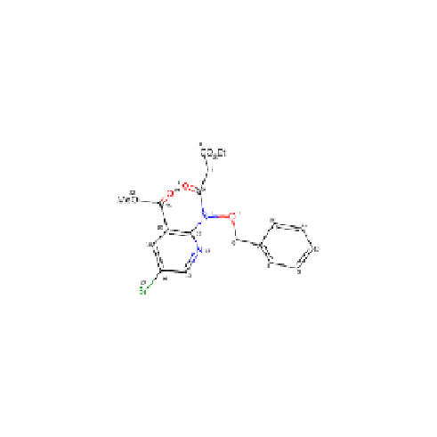 CCOC(=O)CC(=O)N(OCc1ccccc1)c1ncc(Br)cc1C(=O)OC